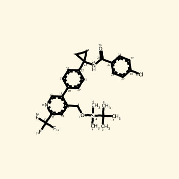 CC(C)(C)[Si](C)(C)OCc1cc(C(F)(F)F)ncc1-c1ccc(C2(NC(=O)c3ccc(Cl)cc3)CC2)cc1